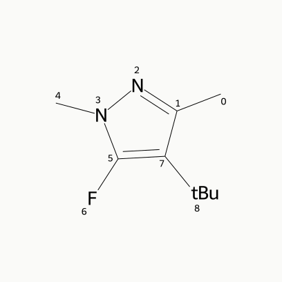 Cc1nn(C)c(F)c1C(C)(C)C